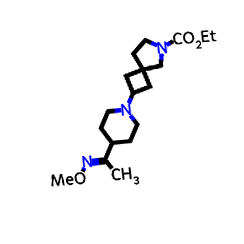 CCOC(=O)N1CCC2(CC(N3CCC(/C(C)=N/OC)CC3)C2)C1